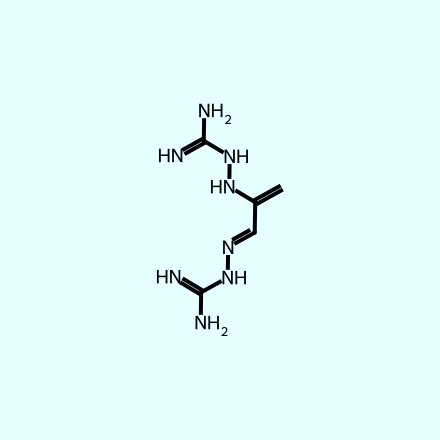 C=C(/C=N/NC(=N)N)NNC(=N)N